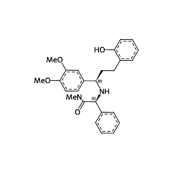 CNC(=O)[C@@H](N[C@H](CCc1ccccc1O)c1ccc(OC)c(OC)c1)c1ccccc1